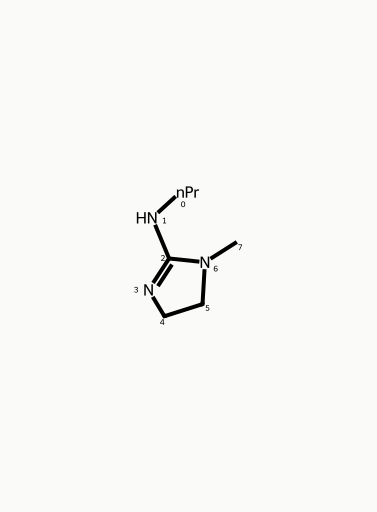 CCCNC1=NCCN1C